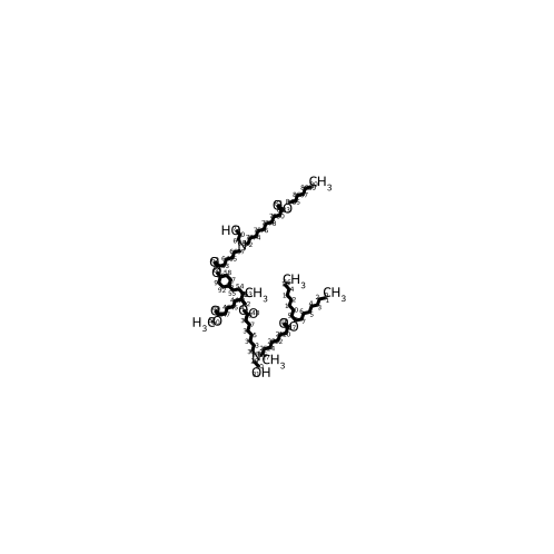 CCCCCCCCC(CCCCCCCC)OC(=O)CCCCCCC(C)N(CCO)CCCCCCCC(=O)OCC(CCCCC(=O)OC)C(C)CCC1CCC(OC(=O)CCCCCN(CCO)CCCCCCCCCC(=O)OCCCCCCC)CC1